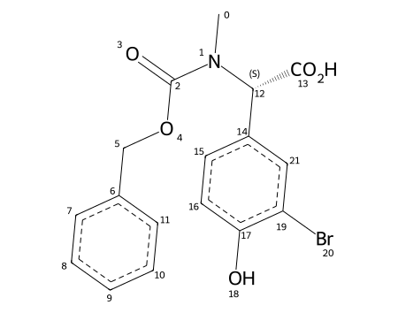 CN(C(=O)OCc1ccccc1)[C@H](C(=O)O)c1ccc(O)c(Br)c1